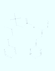 CC(C)(C)C(NC(=O)O)C(O)CCc1ccccc1.NCC(O)CCc1ccccc1